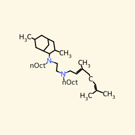 CCCCCCCCN(C/C=C(\C)CCC=C(C)C)CCN(CCCCCCCC)C1C(C)CC2CC(C)CC1C2